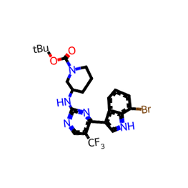 CC(C)(C)OC(=O)N1CCCC(Nc2ncc(C(F)(F)F)c(-c3c[nH]c4c(Br)cccc34)n2)C1